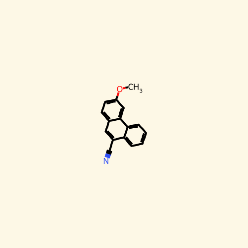 COc1ccc2cc(C#N)c3ccccc3c2c1